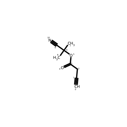 C#CCC(=O)OC(C)(C)C#N